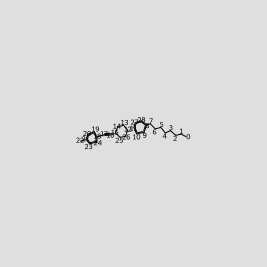 CCCCCCCCc1ccc([C@H]2CC[C@H](C#Cc3ccc(C)cc3)CC2)cc1